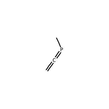 C=C=PC